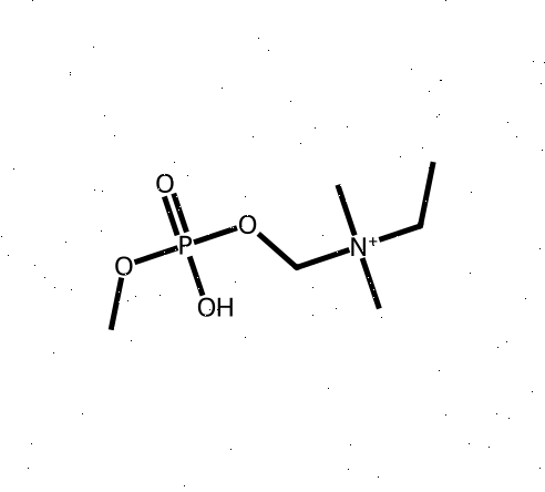 CC[N+](C)(C)COP(=O)(O)OC